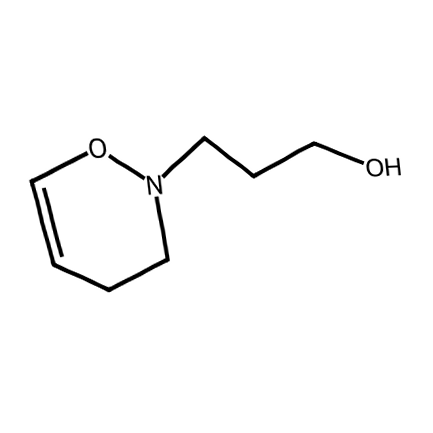 OCCCN1CCC=CO1